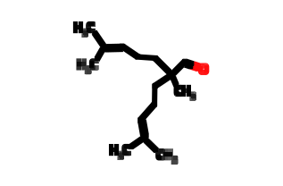 CC(C)=CCCC(C)(C=O)CCC=C(C)C